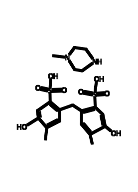 CN1CCNCC1.Cc1cc(Cc2cc(C)c(O)cc2S(=O)(=O)O)c(S(=O)(=O)O)cc1O